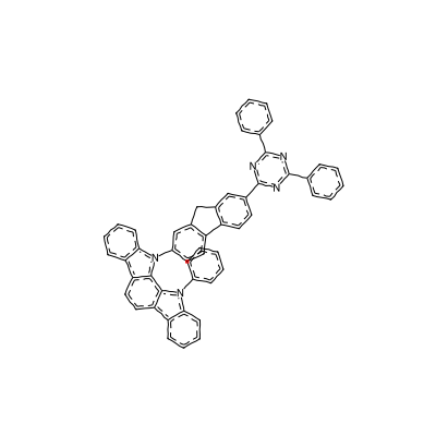 c1ccc(-c2nc(-c3ccccc3)nc(-c3ccc4c(c3)Cc3cc(-n5c6ccccc6c6ccc7c8ccccc8n(-c8ccccc8)c7c65)ccc3-4)n2)cc1